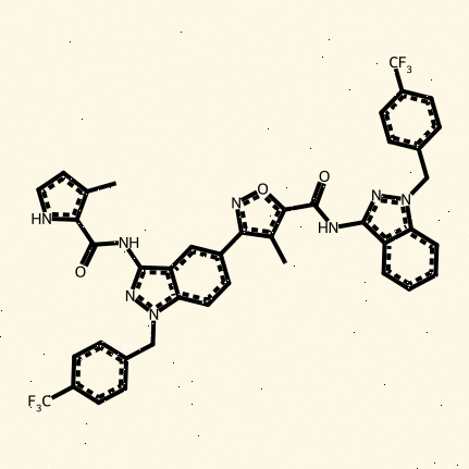 Cc1cc[nH]c1C(=O)Nc1nn(Cc2ccc(C(F)(F)F)cc2)c2ccc(-c3noc(C(=O)Nc4nn(Cc5ccc(C(F)(F)F)cc5)c5ccccc45)c3C)cc12